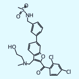 CN(CCO)Cc1c(C(=O)c2ccc(Cl)cc2Cl)oc2cc(-c3cccc(CNS(C)(=O)=O)c3)ccc12